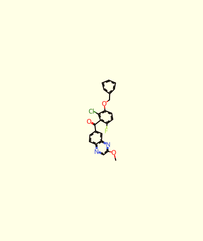 COc1cnc2ccc(C(=O)c3c(F)ccc(OCc4ccccc4)c3Cl)cc2n1